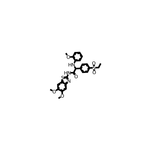 CCS(=O)(=O)c1ccc(C(Nc2ccccc2OC)C(=O)Nc2nc3cc(OC)c(OC)cc3s2)cc1